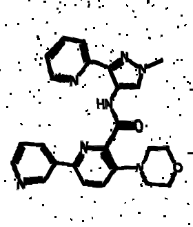 Cn1cc(NC(=O)c2nc(-c3cccnc3)ccc2N2CCOCC2)c(-c2ccccn2)n1